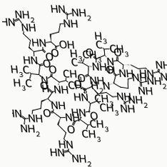 CC(C)[C@H](NC(=O)[C@H](CCCNC(=N)N)NC(=O)[C@H](CCCNC(=N)N)NC(=O)[C@@H](NC(=O)[C@@H](NC(=O)[C@H](CCCNC(=N)N)NC(=O)[C@@H](NC(=O)[C@@H](NC(=O)[C@H](CCCNC(=N)N)NC(=O)[C@@H](N)CCCNC(=N)N)C(C)C)C(C)C)C(C)C)C(C)C)C(=O)N[C@H](C(=O)N[C@@H](CCCNC(=N)N)C(=O)N[C@@H](CCCNC(=N)N)C(=O)O)C(C)C